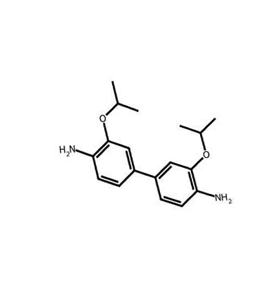 CC(C)Oc1cc(-c2ccc(N)c(OC(C)C)c2)ccc1N